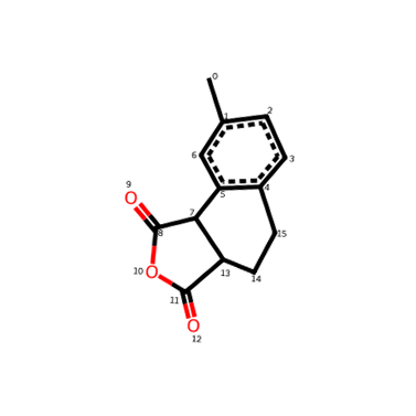 Cc1ccc2c(c1)C1C(=O)OC(=O)C1CC2